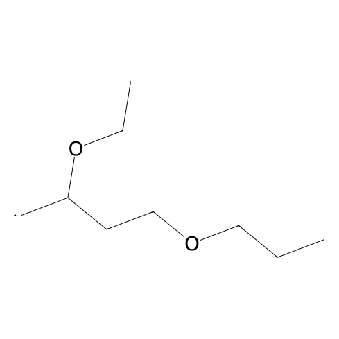 [CH2]C(CCOCCC)OCC